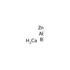 [Al].[B].[CaH2].[Zn]